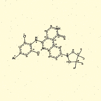 CC(=O)c1cc(Cl)c(Nc2nc3ccc(B4OC(C)(C)C(C)(C)O4)cc3c3c(=O)[nH]ccc23)c(Cl)c1